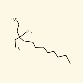 CCCC(C)(CC)CCCCCCCCF